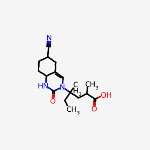 CCC(C)(CC(C)C(=O)O)N1C=C2CC(C#N)CCC2NC1=O